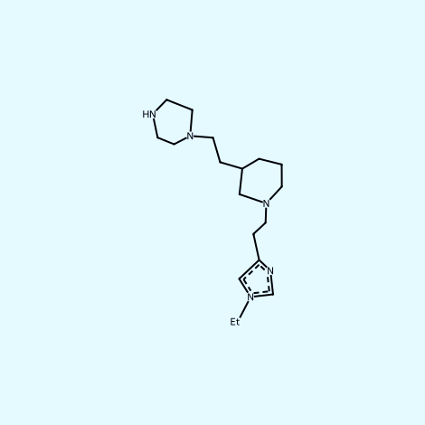 CCn1cnc(CCN2CCCC(CCN3CCNCC3)C2)c1